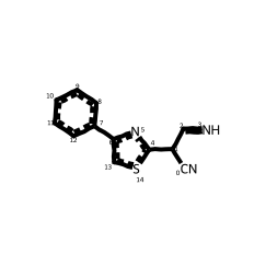 N#CC(C=N)c1nc(-c2ccccc2)cs1